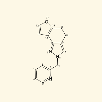 c1ccc(Cn2cc3c(n2)-c2ccoc2CC3)nc1